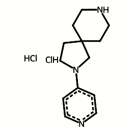 Cl.Cl.c1cc(N2CCC3(CCNCC3)C2)ccn1